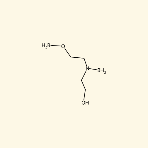 BOCCN(B)CCO